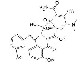 CC(=O)c1cccc(/C=C2\c3cccc(O)c3C(=O)/C(=C(\O)[C@@]3(O)C[C@@H](N(C)C)C(O)=C(C(N)=O)C3=O)[C@H]2[C@@H](C)O)c1